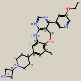 CCOc1cncc(-c2ncnc3c2COc2c(C)cc(C4CCN(C5CNC5)CC4)cc2N3)c1